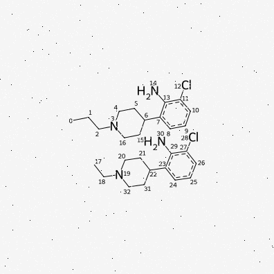 CCCN1CCC(c2cccc(Cl)c2N)CC1.CCN1CCC(c2cccc(Cl)c2N)CC1